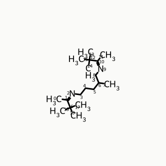 CC(=NCCCC(C)CN=C(C)C(C)(C)C)C(C)(C)C